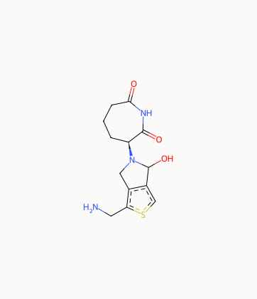 NCc1scc2c1CN([C@H]1CCCC(=O)NC1=O)C2O